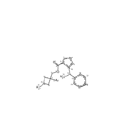 CC(=O)C1(COC(=O)c2cncn2C(C)c2ccccc2)CN(C)C1